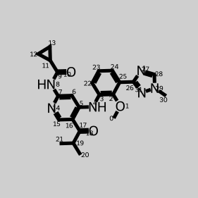 COc1c(Nc2cc(NC(=O)C3CC3)ncc2C(=O)C(C)C)cccc1-c1ncn(C)n1